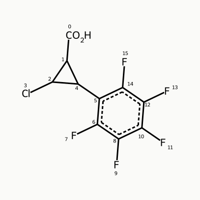 O=C(O)C1C(Cl)C1c1c(F)c(F)c(F)c(F)c1F